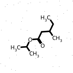 CC[C](C)CC(=O)OC(C)C